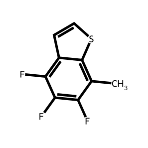 Cc1c(F)c(F)c(F)c2ccsc12